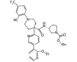 CCOc1ncccc1-c1ccc(C2(C(=O)N[C@@H]3CCN(C(=O)OC(C)(C)C)C3)CCN(c3ccc(C(F)(F)F)cc3C#N)CC2)nc1